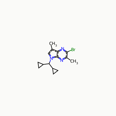 Cc1nc2c(nc1Br)c(C)cn2C(C1CC1)C1CC1